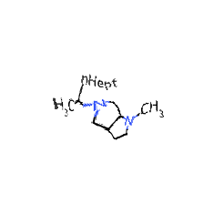 CCCCCCCC(C)N1CC2CCN(C)C2C1